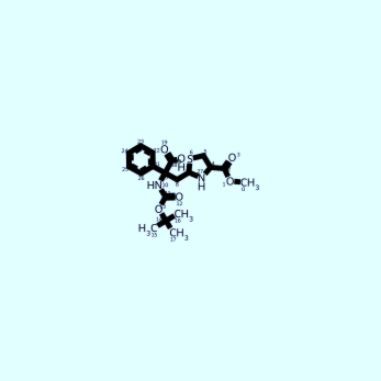 COC(=O)C1CSC(CC(NC(=O)OC(C)(C)C)(C(=O)O)c2ccccc2)N1